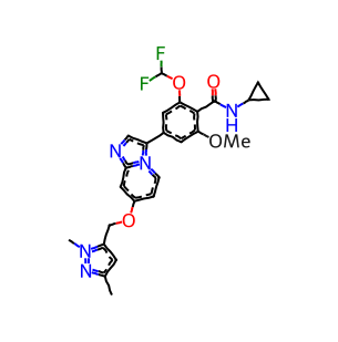 COc1cc(-c2cnc3cc(OCc4cc(C)nn4C)ccn23)cc(OC(F)F)c1C(=O)NC1CC1